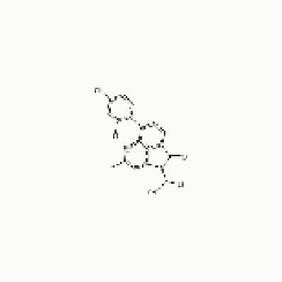 CCCC(CC)N1C(=O)c2ccc(-c3ccc(Cl)cc3Cl)c3nc(C)cc1c23